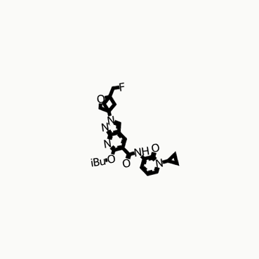 CCC(C)Oc1nc2nn(C34COC(CF)(C3)C4)cc2cc1C(=O)Nc1cccn(C2CC2)c1=O